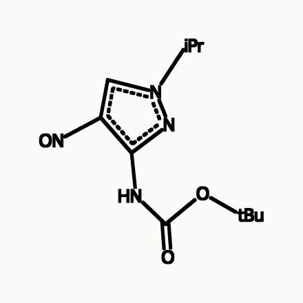 CC(C)n1cc(N=O)c(NC(=O)OC(C)(C)C)n1